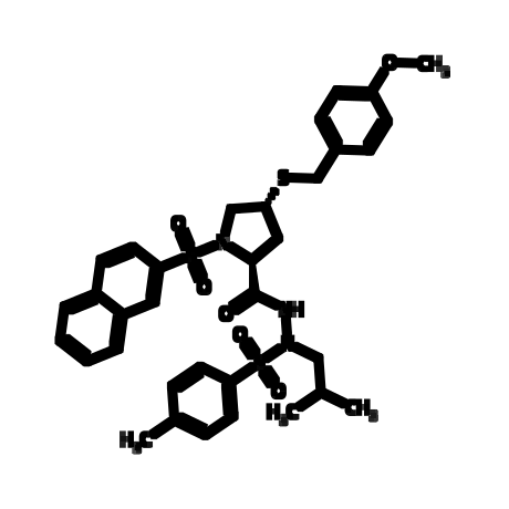 COc1ccc(CS[C@@H]2C[C@@H](C(=O)NN(CC(C)C)S(=O)(=O)c3ccc(C)cc3)N(S(=O)(=O)c3ccc4ccccc4c3)C2)cc1